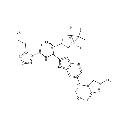 COC[C@H](c1cnn2cc(C(NC(=O)c3nonc3CCC(F)(F)F)[C@@H](C)C3C[C@@H]4[C@H](C3)C4(F)F)nc2c1)N1CC(C(F)(F)F)=NC1=O